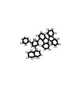 c1ccc(-c2cc(-c3cccc4ccccc34)cc(-c3cccc4c3-c3ccccc3C43c4ccccc4-c4ccccc43)n2)cc1